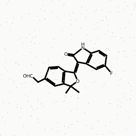 CC1(C)OC(=C2C(=O)Nc3ccc(F)cc32)c2ccc(CC=O)cc21